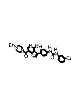 CCN1CCN(C(=O)c2cnc(N)c3c(-c4ccc(NC(=O)Nc5cccc(C)c5)cc4)csc23)CC1